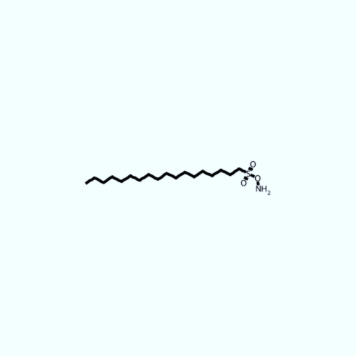 CCCCCCCCCCCCCCCCCCS(=O)(=O)ON